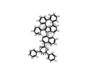 c1ccc(-c2nc(-c3ccccc3)nc(-c3ccc(-n4c(-c5ccccn5)c5c6c(cccc64)-c4ccccc4-c4ccccc4-5)c4ccccc34)n2)cc1